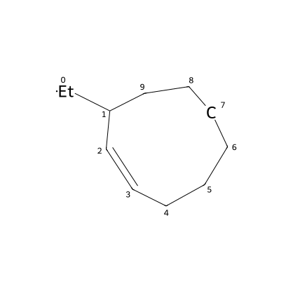 C[CH]C1/C=C\CCCCCC1